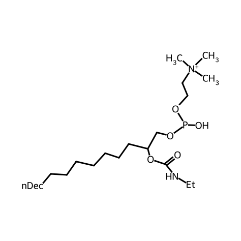 CCCCCCCCCCCCCCCCCC(COP(O)OCC[N+](C)(C)C)OC(=O)NCC